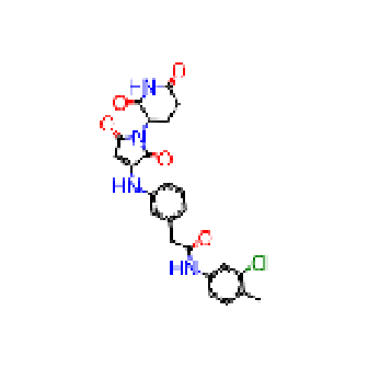 Cc1ccc(NC(=O)Cc2cccc(NC3=CC(=O)N(C4CCC(=O)NC4=O)C3=O)c2)cc1Cl